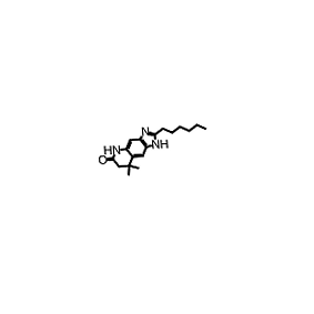 CCCCCCc1nc2cc3c(cc2[nH]1)C(C)(C)CC(=O)N3